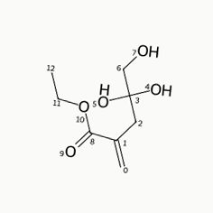 C=C(CC(O)(O)CO)C(=O)OCC